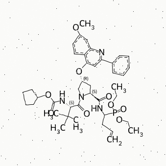 C=CCC(NC(=O)[C@@H]1C[C@@H](Oc2cc(-c3ccccc3)nc3cc(OC)ccc23)CN1C(=O)[C@@H](NC(=O)OC1CCCC1)C(C)(C)C)P(=O)(OCC)OCC